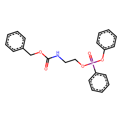 O=C(NCCOP(=O)(Oc1ccccc1)c1ccccc1)OCc1ccccc1